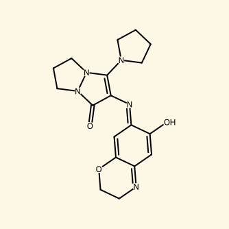 O=c1c(N=C2C=C3OCCN=C3C=C2O)c(N2CCCC2)n2n1CCC2